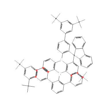 CC(C)(C)c1cc(-c2ccc3c(c2)N(c2c(-c4ccccc4)cccc2-c2ccccc2)c2cc(C(C)(C)C)cc4c2B3c2ccc(-c3cc(C(C)(C)C)cc(C(C)(C)C)c3)cc2C42c3ccccc3-c3ccccc32)cc(C(C)(C)C)c1